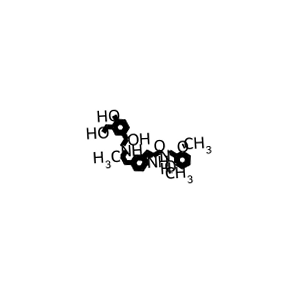 COc1cccc(OC)c1CNC(=O)c1cc2cc(CC(C)NCC(O)c3ccc(O)c(CO)c3)ccc2[nH]1